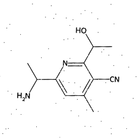 Cc1cc(C(C)N)nc(C(C)O)c1C#N